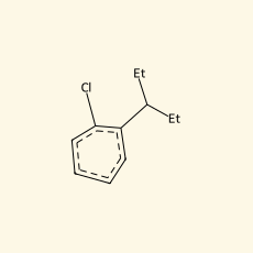 [CH2]CC(CC)c1ccccc1Cl